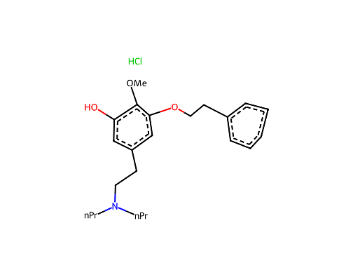 CCCN(CCC)CCc1cc(O)c(OC)c(OCCc2ccccc2)c1.Cl